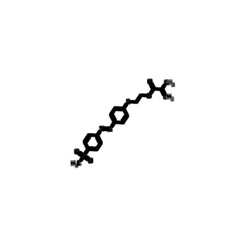 C=C(C)C(=O)OCCSc1ccc(/N=N/c2ccc(S(C)(=O)=O)cc2)cc1